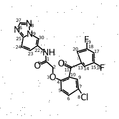 O=C(COc1ccc(Cl)cc1C(=O)c1cc(F)cc(F)c1)Nc1ccc2ncnn2c1